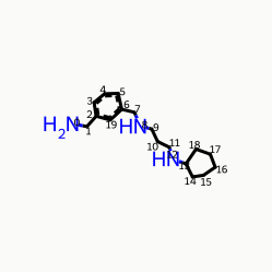 NCc1cccc(CNCCCNC2CCCCC2)c1